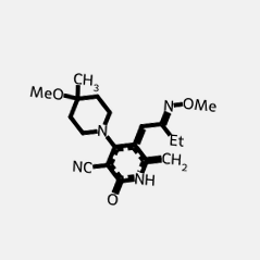 C=c1[nH]c(=O)c(C#N)c(N2CCC(C)(OC)CC2)/c1=C/C(CC)=N/OC